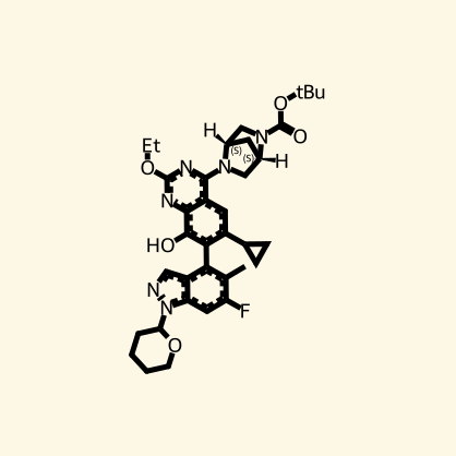 CCOc1nc(N2C[C@@H]3C[C@H]2CN3C(=O)OC(C)(C)C)c2cc(C3CC3)c(-c3c(C)c(F)cc4c3cnn4C3CCCCO3)c(O)c2n1